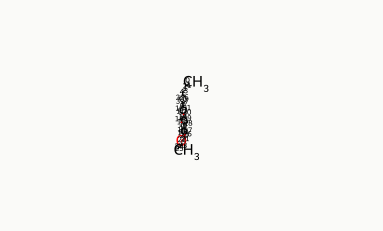 C/C=C/CCC1CCC(c2ccc(-c3ccc(-c4ccc(COCCC)cc4)cc3)cc2)CC1